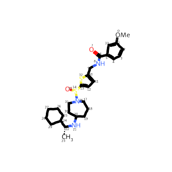 COc1cccc(C(=O)NCc2ccc([S+]([O-])N3CCCC(N[C@H](C)C4CCCCC4)CC3)s2)c1